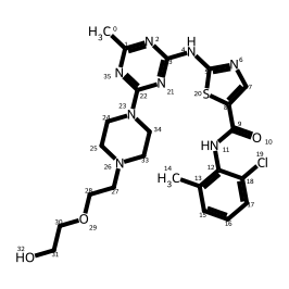 Cc1nc(Nc2ncc(C(=O)Nc3c(C)cccc3Cl)s2)nc(N2CCN(CCOCCO)CC2)n1